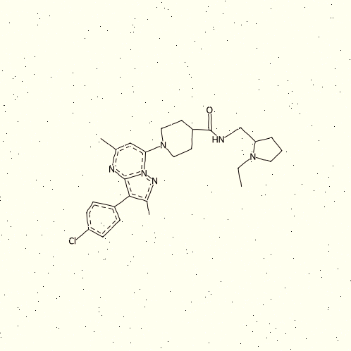 CCN1CCCC1CNC(=O)C1CCN(c2cc(C)nc3c(-c4ccc(Cl)cc4)c(C)nn23)CC1